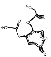 O=C(O)Oc1coc(=O)cc1OC(=O)O